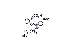 CCCCC(CC)COC(=O)/C=C/c1ccc(OC)cc1.COc1ccccc1/C=C/C(=O)O